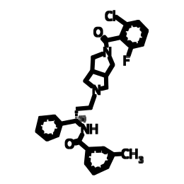 Cc1cccc(C(=O)N[C@@H](CCN2CC3CN(C(=O)c4c(F)cccc4Cl)CC3C2)c2ccccc2)c1